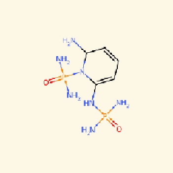 NC1C=CC=C(NP(N)(N)=O)N1P(N)(N)=O